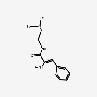 CCN(CC)CCNC(=O)/C(=C/c1ccccc1)NC(C)=O